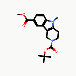 COC(=O)c1ccc2c(c1)c1c(n2C)CCN(C(=O)OC(C)(C)C)C1